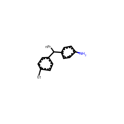 CCCC(c1ccc(N)cc1)c1ccc(CC)cc1